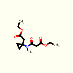 CCOC(=O)CC(=O)N(C)C1(CC(=O)OCC)CC1